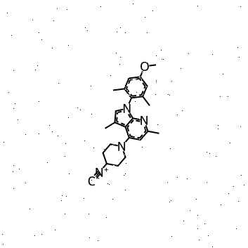 [C-]#[N+]C1CCN(c2cc(C)nc3c2c(C)cn3-c2c(C)cc(OC)cc2C)CC1